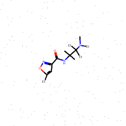 CCc1cc(C(=O)NC(C)(C)C(CC)(CC)N(C)CC)no1